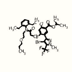 CC(C)OC(=O)c1cc(-c2nn(C)c(C(F)(F)F)c2Br)c(F)cc1Cl.CCCOCCN(C(=O)CCl)c1c(CC)cccc1CC